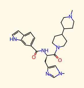 CN1CCC(C2CCN(C(=O)[C@@H](Cc3cn(C)cn3)NC(=O)c3ccc4cc[nH]c4c3)CC2)CC1